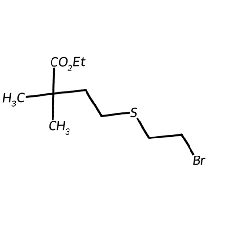 CCOC(=O)C(C)(C)CCSCCBr